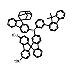 CC(C)(C)c1ccc2c(c1)-c1cc(C(C)(C)C)ccc1C21c2ccccc2-c2ccc(N(c3cccc(-c4cccc5c4C(C)(C)c4ccccc4-5)c3)c3ccc4c(c3)C3(c5ccccc5-4)C4CC5CC(C4)CC3C5)cc21